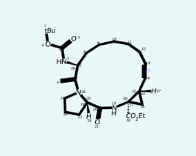 C=C1[C@@H](NC(=O)OC(C)(C)C)CCCCC/C=C\[C@@H]2C[C@@]2(C(=O)OCC)NC(=O)[C@@H]2CCCN12